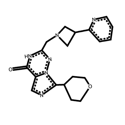 O=c1[nH]c(CN2CC(c3ccccn3)C2)nn2c(C3CCOCC3)ncc12